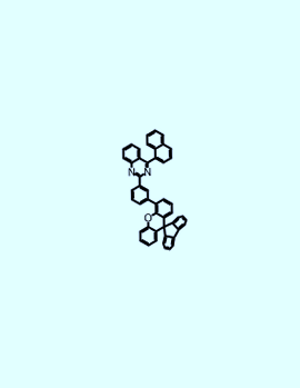 c1cc(-c2nc(-c3cccc4ccccc34)c3ccccc3n2)cc(-c2cccc3c2Oc2ccccc2C32c3ccccc3-c3ccccc32)c1